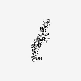 CC(C)C1=C2C(CC[C@]3(C)[C@@H]2CC[C@@H]2[C@@]4(C)CC[C@H](OC(=O)CC(C)(C)C(=O)O)C(C)(C)[C@@H]4CC[C@]23C)[C@H](c2cnc(-c3ccc(Cl)cc3)o2)C1=O